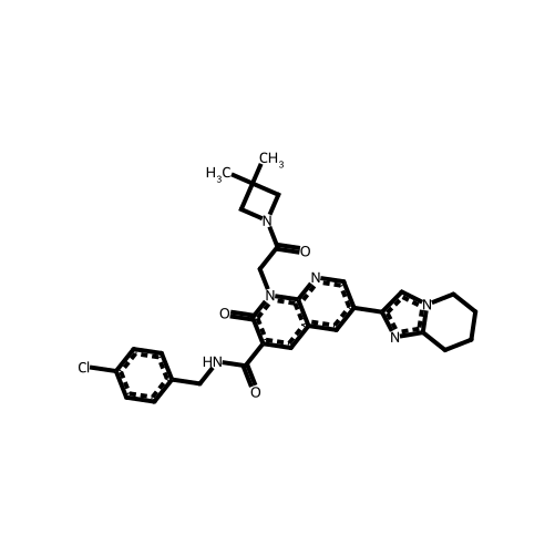 CC1(C)CN(C(=O)Cn2c(=O)c(C(=O)NCc3ccc(Cl)cc3)cc3cc(-c4cn5c(n4)CCCC5)cnc32)C1